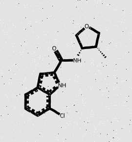 C[C@H]1COC[C@H]1NC(=O)c1cc2cccc(Cl)c2[nH]1